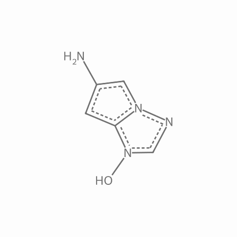 Nc1cc2n(O)cnn2c1